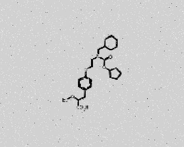 CCOC(Cc1ccc(OCCN(CC2CCCCC2)C(=O)OC2CCCC2)cc1)C(=O)O